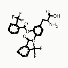 N[C@@H](Cc1ccc(OC(=O)c2ccccc2C(F)(F)F)c(OC(=O)c2ccccc2C(F)(F)F)c1)C(=O)O